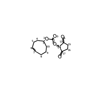 O=C(O[C@H]1CC/C=C\CCC1)ON1C(=O)CCC1=O